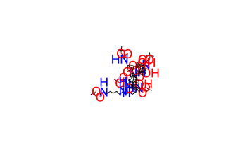 CN(C(=O)OC(C)(C)C)[C@@H]1[C@@H](O)[C@@H](O[C@H]2[C@H](NC(=O)[C@@H](O)CCNC(=O)OC(C)(C)C)C[C@H](NC(=O)OC(C)(C)C)C([C@H]3OC(CNCCCCCNC(=O)OC(C)(C)C)=CC[C@H]3NC(=O)OC(C)(C)C)[C@@H]2O)OC[C@]1(C)O